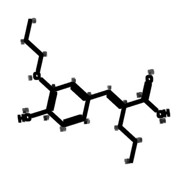 CCCOc1cc(/C=C(\CCC)C(=O)O)ccc1O